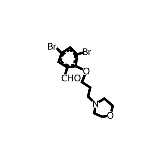 O=Cc1cc(Br)cc(Br)c1OCCCN1CCOCC1